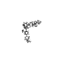 CC(C)N1CCC(c2ccc(-c3cc4c(N5CCN(C(=O)OC6COC6)CC5)ccnn4c3)c(F)c2)CC1